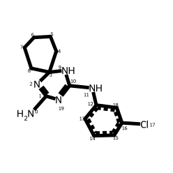 NC1=NC2(CCCCC2)NC(Nc2cccc(Cl)c2)=N1